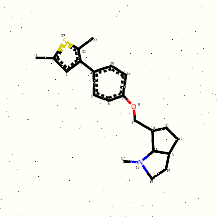 Cc1cc(-c2ccc(OCC3CCC4CCN(C)C43)cc2)c(C)s1